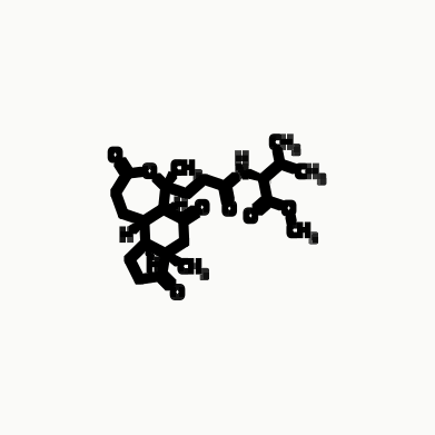 COC(=O)[C@@H](NC(=O)CC[C@@]1(C)OC(=O)CC[C@@H]2[C@@H]1C(=O)C[C@]1(C)C(=O)CC[C@@H]21)C(C)C